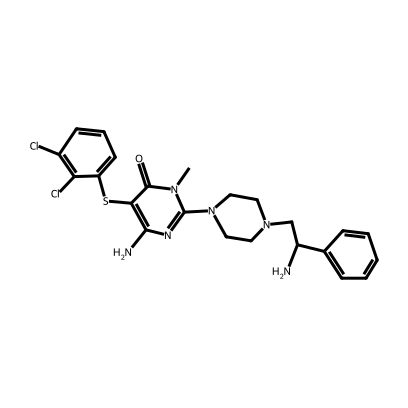 Cn1c(N2CCN(CC(N)c3ccccc3)CC2)nc(N)c(Sc2cccc(Cl)c2Cl)c1=O